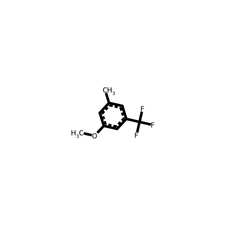 COc1cc(C)cc(C(F)(F)F)c1